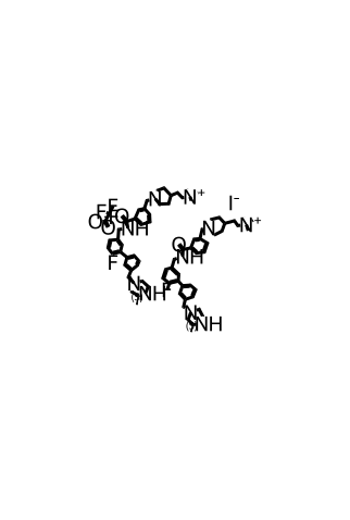 C[C@H]1CN(Cc2cccc(-c3cc(CNC(=O)c4cccc(CN5CCC(CC[N+](C)(C)C)CC5)c4)ccc3F)c2)CCN1.C[C@H]1CN(Cc2cccc(-c3cc(CNC(=O)c4cccc(CN5CCC(CC[N+](C)(C)C)CC5)c4)ccc3F)c2)CCN1.O=C([O-])C(F)(F)F.[I-]